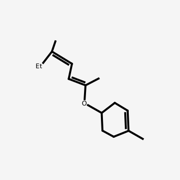 CC/C(C)=C\C=C(/C)OC1CC=C(C)CC1